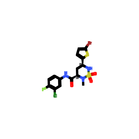 CN1[C@H](C(=O)Nc2ccc(F)c(Cl)c2)C[C@H](c2ccc(Br)s2)NS1(=O)=O